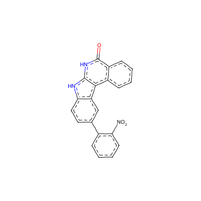 O=c1[nH]c2[nH]c3ccc(-c4ccccc4[N+](=O)[O-])cc3c2c2ccccc12